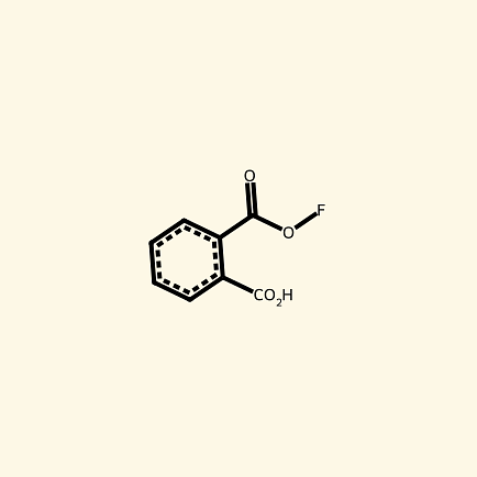 O=C(O)c1ccccc1C(=O)OF